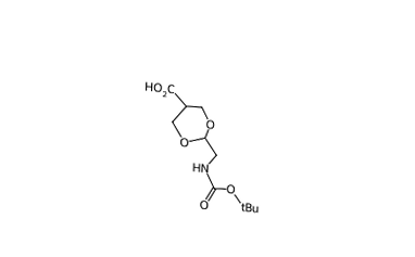 CC(C)(C)OC(=O)NCC1OCC(C(=O)O)CO1